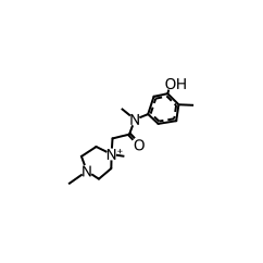 Cc1ccc(N(C)C(=O)C[N+]2(C)CCN(C)CC2)cc1O